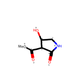 COC(=O)C1C(=O)NCC1O